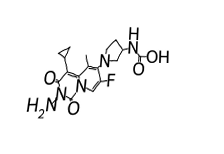 Cc1c(N2CCC(NC(=O)O)C2)c(F)cn2c(=O)n(N)c(=O)c(C3CC3)c12